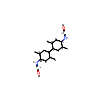 CC1CC(C2CC(C)C(N=C=O)CC2C)C(C)CC1N=C=O